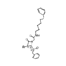 O=C(CN1C(=O)[C@H](Br)[C@H]1[S@@+]([O-])Cc1ccccc1)NCCCCCCc1ccccc1